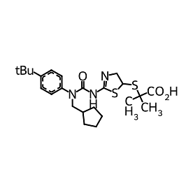 CC(C)(SC1CN=C(NC(=O)N(CC2CCCC2)c2ccc(C(C)(C)C)cc2)S1)C(=O)O